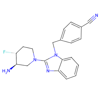 N#Cc1ccc(Cn2c(N3CC[C@@H](F)[C@H](N)C3)nc3ccccc32)cc1